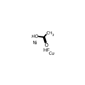 CC(=O)O.F.[Cu].[Ni]